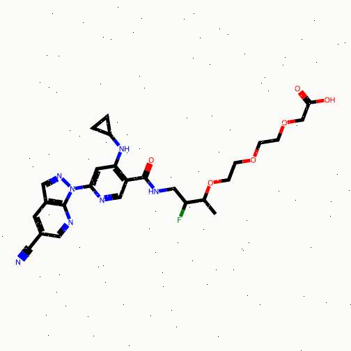 CC(OCCOCCOCC(=O)O)C(F)CNC(=O)c1cnc(-n2ncc3cc(C#N)cnc32)cc1NC1CC1